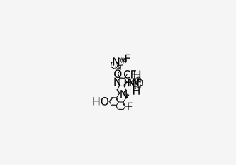 C#Cc1c(F)ccc2cc(O)cc(-c3cc4nc(OC[C@@]56CCCN5C[C@H](F)C6)c(C(F)(F)F)c(N5C[C@H]6CC[C@@H](C5)N6)c4cn3)c12